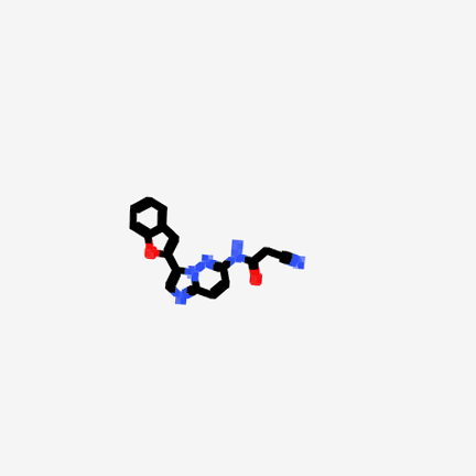 N#CCC(=O)Nc1ccc2ncc(-c3cc4ccccc4o3)n2n1